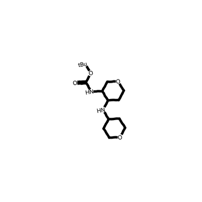 CC(C)(C)OC(=O)NC1COCCC1NC1CCOCC1